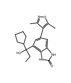 CCC(O)(c1cc(-c2c(C)noc2C)cc2[nH]c(=O)[nH]c12)C1CCCC1